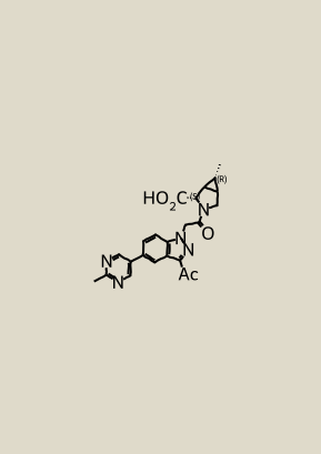 CC(=O)c1nn(CC(=O)N2CC3C([C@@H]3C)[C@H]2C(=O)O)c2ccc(-c3cnc(C)nc3)cc12